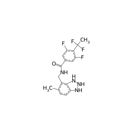 Cc1ccc2c(c1CNC(=O)c1cc(F)c(C(C)(F)F)c(F)c1)NNN2